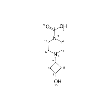 O=C(O)N1CCN([C@H]2C[C@@H](O)C2)CC1